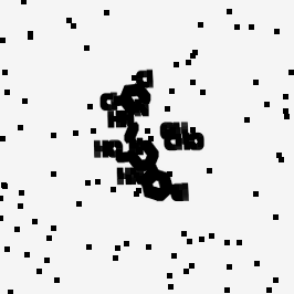 O=CO.OCC1c2[nH]c3ccc(Cl)cc3c2CCN1CCNc1ncc(Cl)cc1Cl